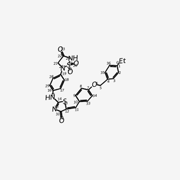 CCc1ccc(COc2ccc(/C=C3\SC(Nc4ccc(N5CC(=O)NS5(=O)=O)cc4)=NC3=O)cc2)cc1